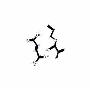 C=CCOC(=O)C(=C)C.O=C(O)/C=C/C(=O)O